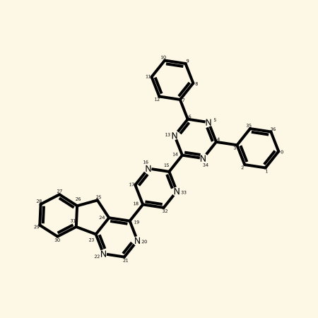 c1ccc(-c2nc(-c3ccccc3)nc(-c3ncc(-c4ncnc5c4Cc4ccccc4-5)cn3)n2)cc1